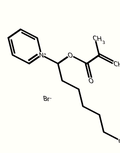 C=C(C)C(=O)OC(CCCCCCCCCCCCCCC)[n+]1ccccc1.[Br-]